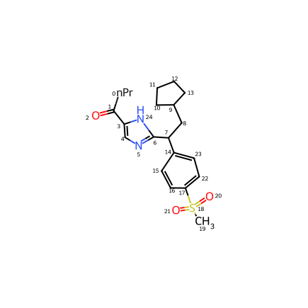 CCCC(=O)c1cnc(C(CC2CCCC2)c2ccc(S(C)(=O)=O)cc2)[nH]1